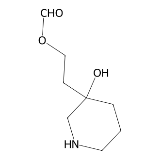 O=COCCC1(O)CCCNC1